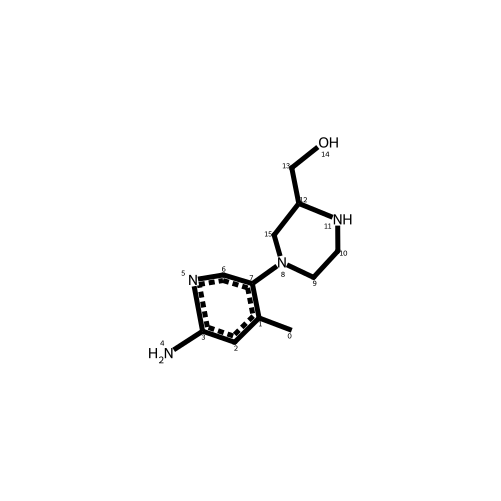 Cc1cc(N)ncc1N1CCNC(CO)C1